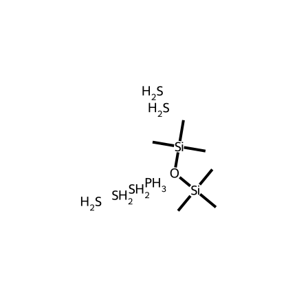 C[Si](C)(C)O[Si](C)(C)C.P.S.S.S.S.S